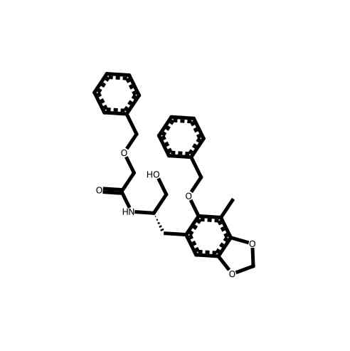 Cc1c(OCc2ccccc2)c(C[C@@H](CO)NC(=O)COCc2ccccc2)cc2c1OCO2